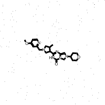 COc1ccnc(CN2CC(C)C(C3=NC4=CN(C5CCOCC5)CN4C(=O)N3)C2)c1